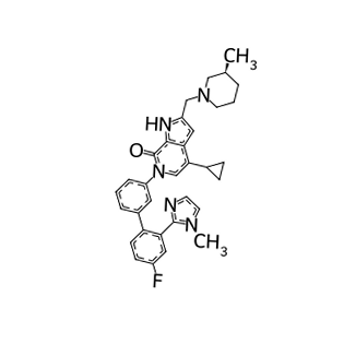 C[C@H]1CCCN(Cc2cc3c(C4CC4)cn(-c4cccc(-c5ccc(F)cc5-c5nccn5C)c4)c(=O)c3[nH]2)C1